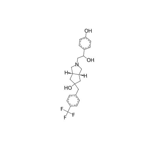 Oc1ccc(C(O)CN2C[C@@H]3CC(O)(Cc4ccc(C(F)(F)F)cc4)C[C@@H]3C2)cc1